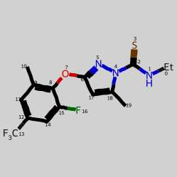 CCNC(=S)n1nc(Oc2c(C)cc(C(F)(F)F)cc2F)cc1C